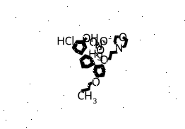 CCCCOc1ccc(OCCCN2CCOCC2)cc1.Cl.O=[N+]([O-])[O][Hg][c]1ccccc1.Oc1ccccc1